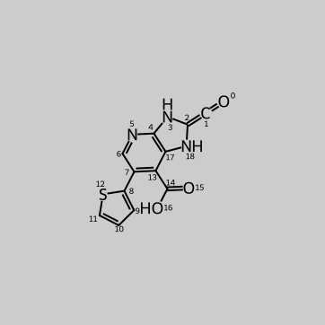 O=C=C1Nc2ncc(-c3cccs3)c(C(=O)O)c2N1